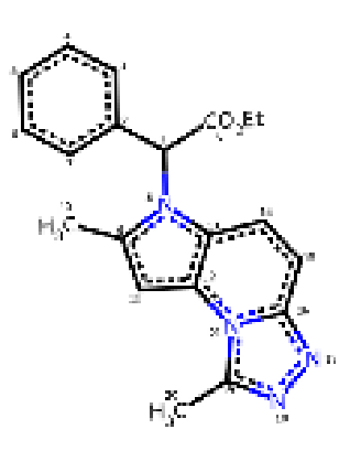 CCOC(=O)C(c1ccccc1)n1c(C)cc2c1ccc1nnc(C)n12